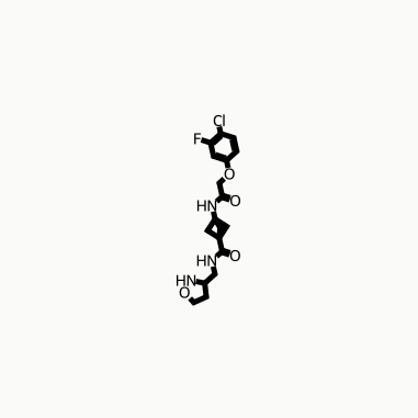 O=C(COc1ccc(Cl)c(F)c1)NC12CC(C(=O)NCC3CCON3)(C1)C2